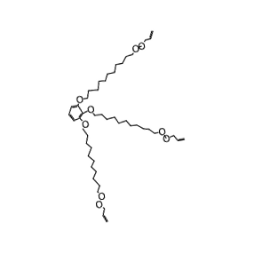 C=CCOOCCCCCCCCCCCOc1cccc(OCCCCCCCCCCCOOCC=C)c1OCCCCCCCCCCCOOCC=C